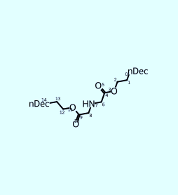 CCCCCCCCCCCCOC(=O)CNCC(=O)OCCCCCCCCCCCC